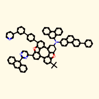 CC(C)(C)c1ccc2c3ccc(-c4ccnc(-c5c6ccccc6cc6ccccc56)n4)c4oc5c(-c6ccc(-c7cccc(-c8cccnc8)c7)cc6)ccc(c6c7c(oc1c72)CC(N(c1ccc2c(ccc7cc(-c8ccccc8)ccc72)c1)c1cc2ccccc2c2ccccc12)C=6)c5c43